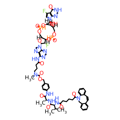 CC(C)[C@H](NC(=O)CCCCC(=O)N1Cc2ccccc2C#Cc2ccccc21)C(=O)N[C@@H](C)C(=O)Nc1ccc(COC(=O)N(C)CCCC(=O)Nc2ncnc3c2ncn3[C@@H]2O[C@@H]3CO[PH](=O)O[C@@H]4[C@H](O)[C@@H](CO[PH](=O)O[C@H]3[C@H]2F)O[C@H]4n2cc(F)c3c(=O)[nH]cnc32)cc1